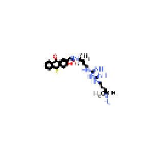 CC(C)(N)CCCNC(=N)NC(=N)NCCCC(C)(C)NC(O)Cc1ccc2c(c1)C(=O)c1ccccc1C2=S